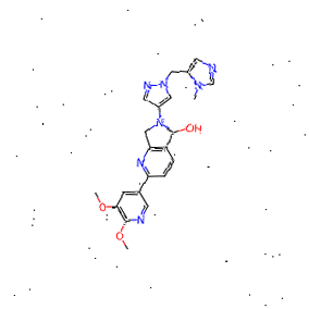 COc1cc(-c2ccc3c(n2)CN(c2cnn(Cc4cncn4C)c2)C3O)cnc1OC